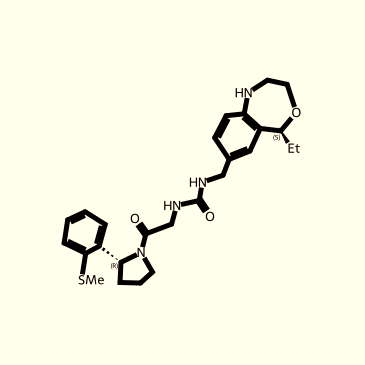 CC[C@@H]1OCCNc2ccc(CNC(=O)NCC(=O)N3CCC[C@@H]3c3ccccc3SC)cc21